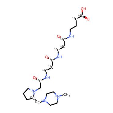 C[15N]1CC[15N]([13CH2][13CH]2CCC[15N]2C[13C](=O)N[13CH2][13CH2][13C](=O)N[13CH2][13CH2][13C](=O)NCC[13CH2][13C](=O)O)CC1